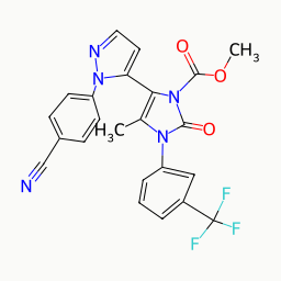 COC(=O)n1c(-c2ccnn2-c2ccc(C#N)cc2)c(C)n(-c2cccc(C(F)(F)F)c2)c1=O